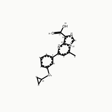 Cc1cc(-c2cccc(OC3CC3)c2)nc2c(C(=O)O)ncn12